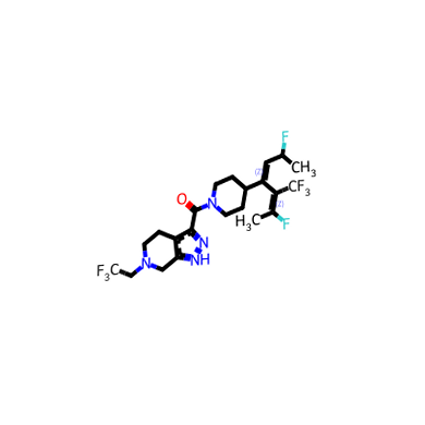 C/C(F)=C(\C(=C/C(C)F)C1CCN(C(=O)c2n[nH]c3c2CCN(CC(F)(F)F)C3)CC1)C(F)(F)F